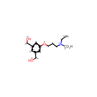 CC(C)CN(CCCOc1cc(CO)cc(CO)c1)C(=O)O